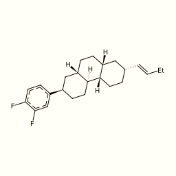 CCC=C[C@@H]1CC[C@H]2[C@H](CC[C@H]3C[C@H](c4ccc(F)c(F)c4)CC[C@@H]32)C1